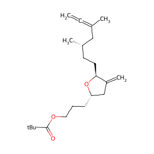 C=C=C(C)C[C@@H](C)CC[C@@H]1O[C@@H](CCCOC(=O)C(C)(C)C)CC1=C